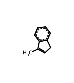 CC1=CCc2c[c][c]cc21